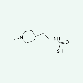 CN1CCC(CCNC(=O)S)CC1